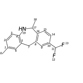 Cc1ccc2c(c1)Cc1cc(C(F)F)ccc1C(C)N2